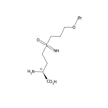 CC(C)OCCCS(=N)(=O)CC[C@H](N)C(=O)O